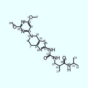 COc1cc(N2CCc3nc(NC(=O)NCC(C)C(=O)NC(C)C)sc3C2)nc(OC)n1